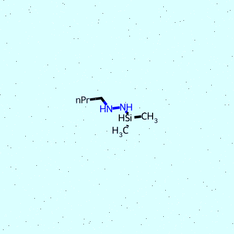 CCCCNN[SiH](C)C